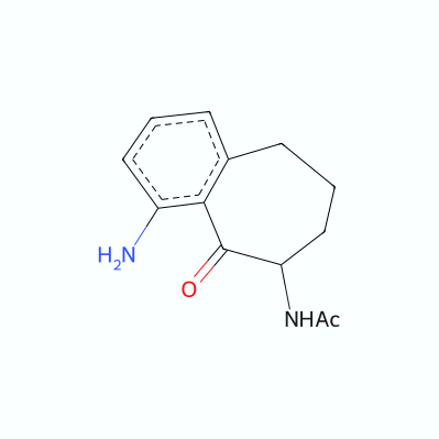 CC(=O)NC1CCCc2cccc(N)c2C1=O